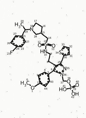 COc1ccc(-c2c(CCNS(=O)(=O)CC3CCN(C(C)c4ccc(F)cc4)C3)c(-c3cccs3)nn2COP(=O)(O)O)cc1